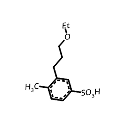 CCOCCCc1cc(S(=O)(=O)O)ccc1C